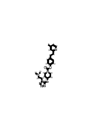 Cc1ccnc(CCc2ccc(OC(=O)N3CCC(Sc4nnnn4CCN(C)C)CC3)cc2)c1